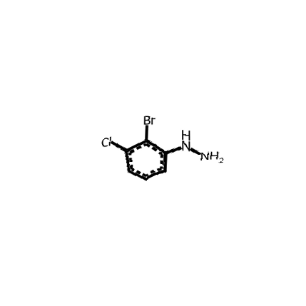 NNc1cccc(Cl)c1Br